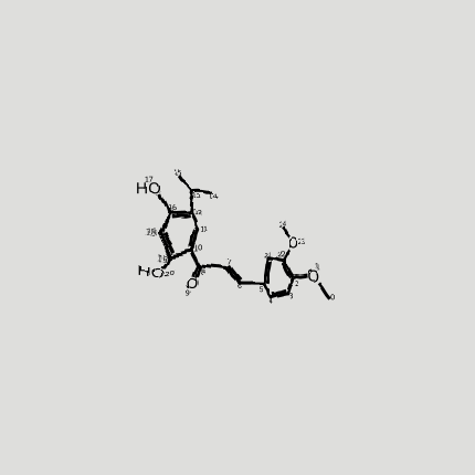 COc1ccc(/C=C/C(=O)c2cc(C(C)C)c(O)cc2O)cc1OC